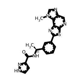 C[C@H](NC(=O)c1cc[nH]n1)c1cccc(-c2nc3c(ncc4ncn(C)c43)s2)c1